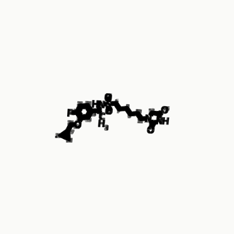 CC(NS(=O)(=O)CCCCCCN1CC(=O)NC1=O)c1ccc(F)c(OCC2CC2)c1